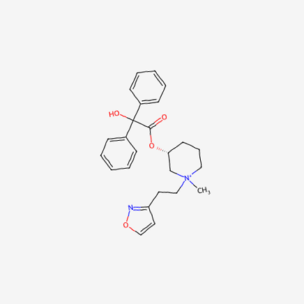 C[N+]1(CCc2ccon2)CCC[C@@H](OC(=O)C(O)(c2ccccc2)c2ccccc2)C1